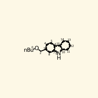 CCCCOCc1ccc2c(c1)[nH]c1ccccc12